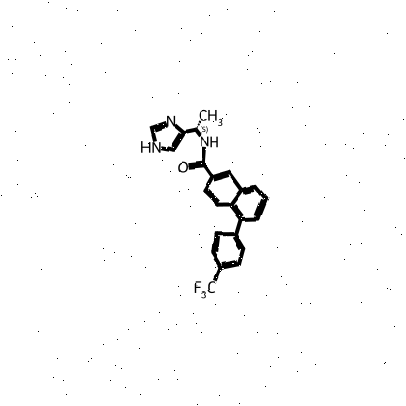 C[C@H](NC(=O)c1ccc2c(-c3ccc(C(F)(F)F)cc3)cccc2c1)c1c[nH]cn1